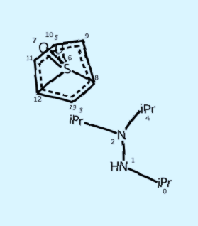 CC(C)NN(C(C)C)C(C)C.O=S1(=O)c2cccc1c2